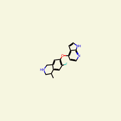 CC1CNCc2cc(Oc3ccnc4[nH]ccc34)c(F)cc21